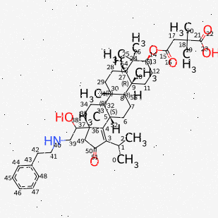 CC(C)C1=C2[C@H]3CC[C@@H]4[C@@]5(C)CC[C@H](OC(=O)CC(C)(C)C(=O)O)C(C)(C)[C@H]5CC[C@@]4(C)[C@]3(C)CCC2(C(O)CNCCc2ccccc2)CC1=O